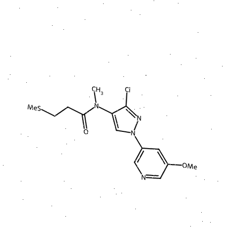 COc1cncc(-n2cc(N(C)C(=O)CCSC)c(Cl)n2)c1